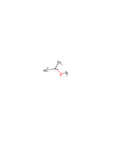 CC(=O)OC(C)C#N